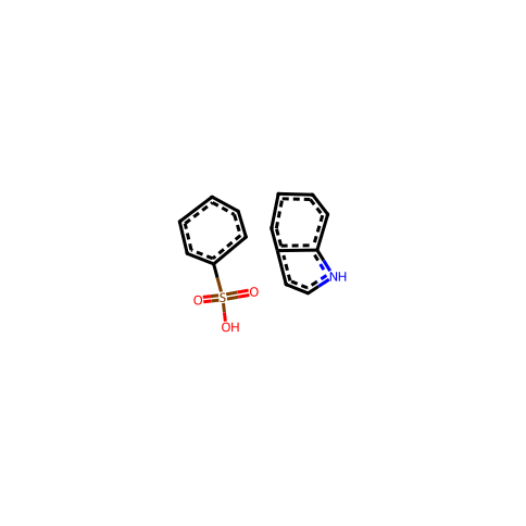 O=S(=O)(O)c1ccccc1.c1ccc2[nH]ccc2c1